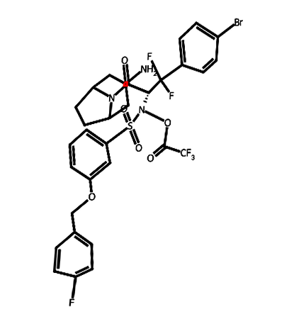 NC1CC2CCC(C1)N2C(=O)[C@@H](N(OC(=O)C(F)(F)F)S(=O)(=O)c1cccc(OCc2ccc(F)cc2)c1)C(F)(F)c1ccc(Br)cc1